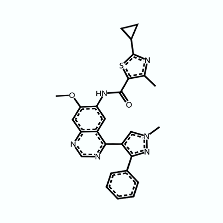 COc1cc2ncnc(-c3cn(C)nc3-c3ccccc3)c2cc1NC(=O)c1sc(C2CC2)nc1C